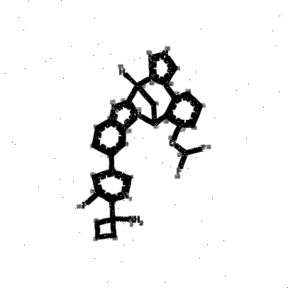 NC1(c2ncc(-c3ccc4nc5n(c4c3)C3C[C@H]5n4nncc4-c4cccc(OC(F)F)c43)cc2F)CCC1